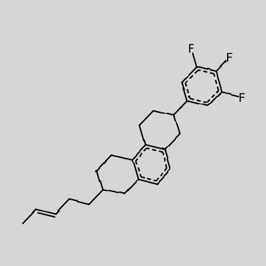 C/C=C/CCC1CCc2c(ccc3c2CCC(c2cc(F)c(F)c(F)c2)C3)C1